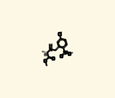 COC(=O)[C@H](C)NCc1cc(Cl)ccc1[N+](=O)[O-]